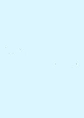 Cl[SiH2]C=CCOCC=C[SiH2]Cl